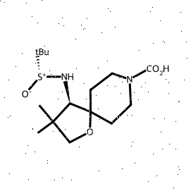 CC1(C)COC2(CCN(C(=O)O)CC2)[C@@H]1N[S@+]([O-])C(C)(C)C